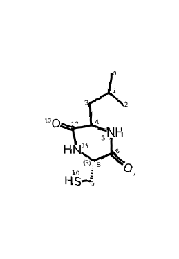 CC(C)CC1NC(=O)[C@H](CS)NC1=O